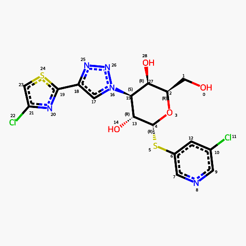 OC[C@H]1O[C@H](Sc2cncc(Cl)c2)[C@H](O)[C@@H](n2cc(-c3nc(Cl)cs3)nn2)[C@H]1O